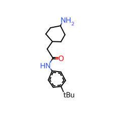 CC(C)(C)c1ccc(NC(=O)CC2CCC(N)CC2)cc1